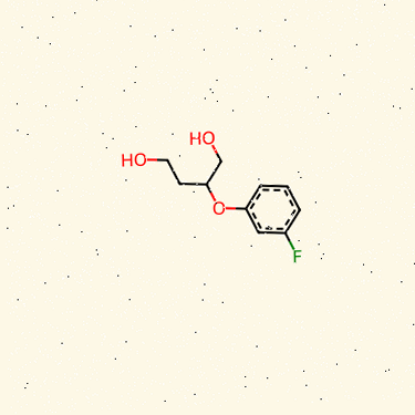 OCCC(CO)Oc1cccc(F)c1